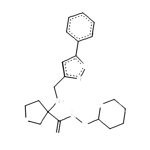 O=C(NOC1CCCCO1)C1(NCc2cc(-c3ccccc3)on2)CCSC1